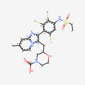 CCS(=O)(=O)Nc1cc(F)c(-c2nc3cc(C)ccn3c2CC2CN(C(=O)O)CCO2)c(F)c1F